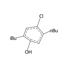 CCCCc1cc(O)c(C(C)CC)cc1Cl